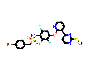 CSc1nccc(-c2cccnc2Oc2cc(F)c(NS(=O)(=O)Cc3ccc(Br)cc3)c(F)c2F)n1